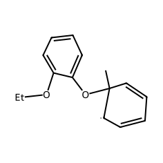 CCOc1ccccc1OC1(C)[CH]C=CC=C1